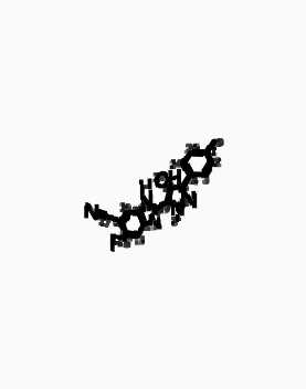 Cc1ccc(-c2nn(C)c(-c3nc4cc(F)c(C#N)cc4[nH]3)c2O)cc1